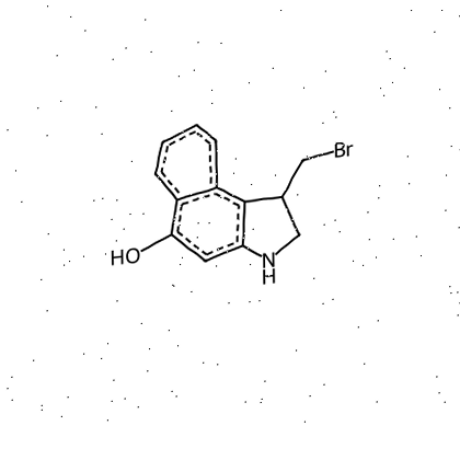 Oc1cc2c(c3ccccc13)C(CBr)CN2